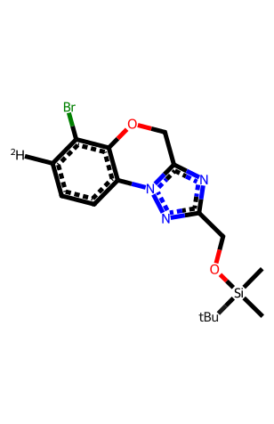 [2H]c1ccc2c(c1Br)OCc1nc(CO[Si](C)(C)C(C)(C)C)nn1-2